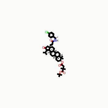 CC(C)C1=C2[C@H]3CC[C@@H]4[C@@]5(C)CC[C@H](OC(=O)CC(C)(C)C(=O)OC(C)(C)C)C(C)(C)[C@@H]5CC[C@@]4(C)[C@]3(C)CC[C@@]2(C=CC(=O)N[C@@H](C)c2ccc(Cl)cc2)CC1=O